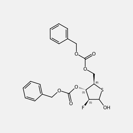 O=C(OCc1ccccc1)OC[C@H]1SC(O)[C@@H](F)[C@@H]1OC(=O)OCc1ccccc1